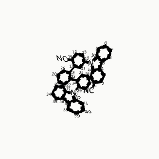 N#Cc1ccc2c3ccccc3n(-c3ccc(C#N)c(-c4ccccc4-c4ccccc4-n4c5ccccc5c5ccccc54)c3)c2c1